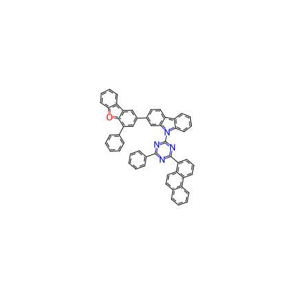 c1ccc(-c2nc(-c3cccc4c3ccc3ccccc34)nc(-n3c4ccccc4c4ccc(-c5cc(-c6ccccc6)c6oc7ccccc7c6c5)cc43)n2)cc1